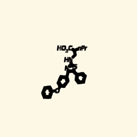 CCCC(CNc1nc(-c2ccc(Oc3ccccc3)cc2)c(-c2ccccc2)s1)C(=O)O